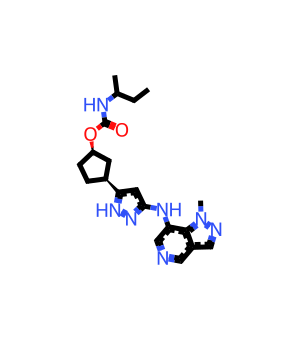 CCC(C)NC(=O)O[C@@H]1CC[C@H](c2cc(Nc3cncc4cnn(C)c34)n[nH]2)C1